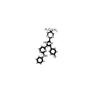 CC1(C)COC(c2nc(-c3ccc(F)cc3)c(-c3ccnc(Nc4ccccc4)n3)[nH]2)OC1